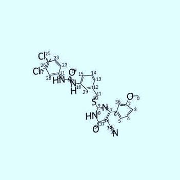 COc1cccc(-c2nc(SCc3cccc(NC(=O)Nc4ccc(Cl)c(Cl)c4)c3)[nH]c(=O)c2C#N)c1